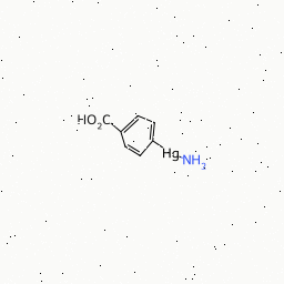 [NH2][Hg][c]1ccc(C(=O)O)cc1